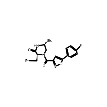 CC(C)C[C@H]1C(=O)N[C@@H](C(C)(C)C)CN1C(=O)c1cc(-c2ccc(F)cc2)on1